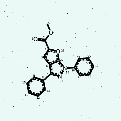 COC(=O)c1cc2c(-c3ccccc3)nn(-c3ccccc3)c2o1